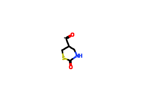 O=[C]C1CNC(=O)SC1